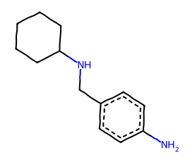 Nc1ccc(CNC2CCCCC2)cc1